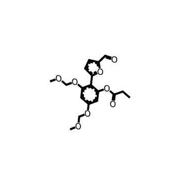 CCC(=O)Oc1cc(OCOC)cc(OCOC)c1-c1ccc(C=O)o1